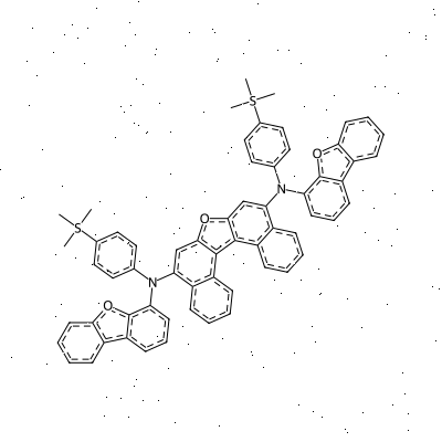 CS(C)(C)c1ccc(N(c2cc3oc4cc(N(c5ccc(S(C)(C)C)cc5)c5cccc6c5oc5ccccc56)c5ccccc5c4c3c3ccccc23)c2cccc3c2oc2ccccc23)cc1